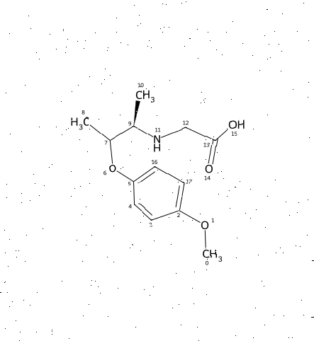 COc1ccc(OC(C)[C@@H](C)NCC(=O)O)cc1